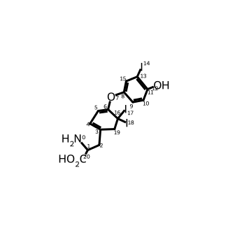 NC(CC1=CC=C(Oc2ccc(O)c(I)c2)C(I)(I)C1)C(=O)O